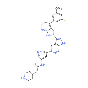 COc1cc(F)cc(-c2ccnc3[nH]c(-c4n[nH]c5cnc(-c6cncc(NC(=O)CC7CCNCC7)c6)cc45)cc23)c1